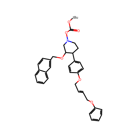 CC(C)(C)OC(=O)ON1CCC(c2ccc(OC/C=C/COc3ccccc3)cc2)C(OCc2ccc3ccccc3c2)C1